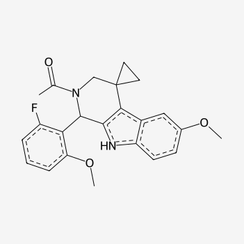 COc1ccc2[nH]c3c(c2c1)C1(CC1)CN(C(C)=O)C3c1c(F)cccc1OC